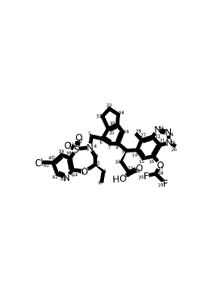 CC[C@@H]1CN(Cc2cc([C@H](CC(=O)O)c3cc(OC(F)F)c4c(nnn4C)c3C)cc3c2CCC3)S(=O)(=O)c2cc(Cl)cnc2O1